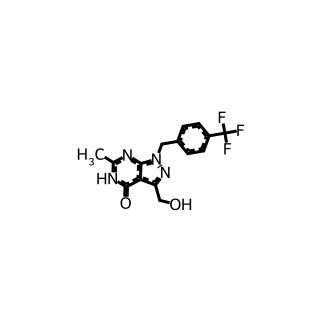 Cc1nc2c(c(CO)nn2Cc2ccc(C(F)(F)F)cc2)c(=O)[nH]1